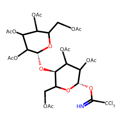 CC(=O)OCC1O[C@H](O[C@@H]2C(COC(C)=O)O[C@@H](OC(=N)C(Cl)(Cl)Cl)C(OC(C)=O)C2OC(C)=O)C(OC(C)=O)C(OC(C)=O)C1OC(C)=O